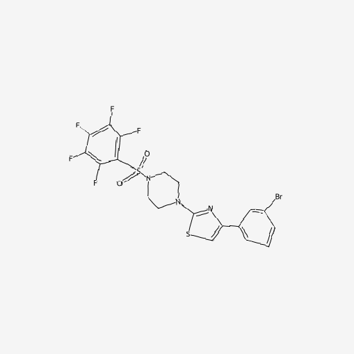 O=S(=O)(c1c(F)c(F)c(F)c(F)c1F)N1CCN(c2nc(-c3cccc(Br)c3)cs2)CC1